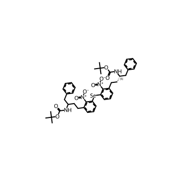 CC(C)(C)OC(=O)NC(CCc1cccc([Se]c2cccc(CC[C@@H](Cc3ccccc3)NC(=O)OC(C)(C)C)c2[N+](=O)[O-])c1[N+](=O)[O-])Cc1ccccc1